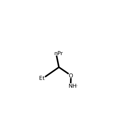 CCCC(CC)O[NH]